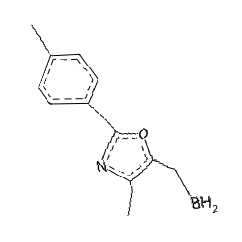 BCc1oc(-c2ccc(C)cc2)nc1C